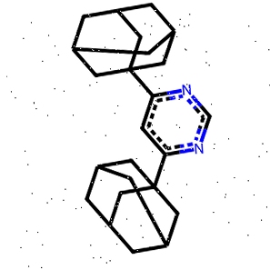 c1nc(C23CC4CC(CC(C4)C2)C3)cc(C23CC4CC(CC(C4)C2)C3)n1